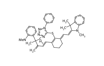 C=C(/C=C/C1=C(Sc2nnnn2-c2ccccc2)C(=C/C=C2/N(C)c3ccccc3C2(C)C)/CCC1)C(C)(C)c1ccccc1NC